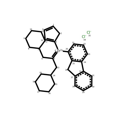 C1=CC[C]([Zr+2](=[C](CC2CCCCC2)CC2CCCCC2)[c]2cccc3c2Cc2ccccc2-3)=C1.[Cl-].[Cl-]